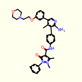 Cc1c(-c2cccc(OCCN3CCOCC3)c2)cnc(N)c1-c1ccc(NC(=O)c2c(C)n(C)n(-c3ccccc3)c2=O)cc1